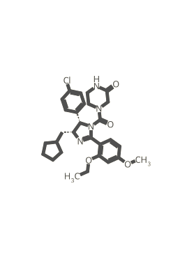 CCOc1cc(OC)ccc1C1=N[C@H](CC2CCCC2)[C@H](c2ccc(Cl)cc2)N1C(=O)N1CCNC(=O)C1